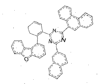 C1=CC(c2nc(-c3ccc4ccccc4c3)nc(-c3cc4ccccc4c4ccccc34)n2)=C(c2cccc3oc4ccccc4c23)CC1